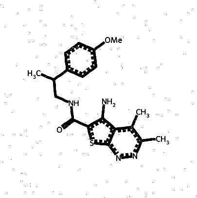 COc1ccc(C(C)CNC(=O)c2sc3nnc(C)c(C)c3c2N)cc1